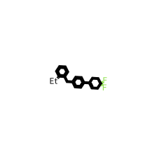 CCc1ccccc1Cc1ccc(C2=CCC(F)(F)CC2)cc1